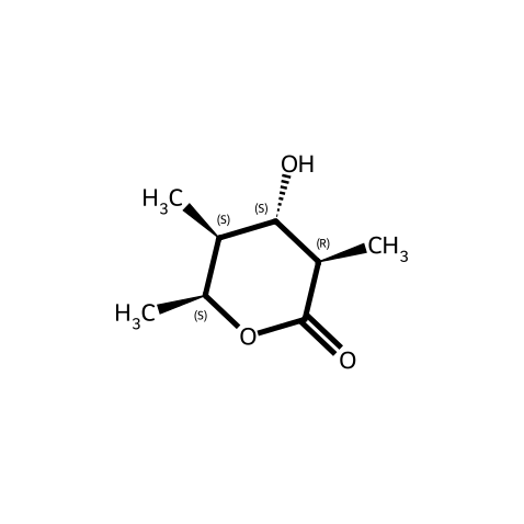 C[C@H]1[C@H](O)[C@@H](C)C(=O)O[C@H]1C